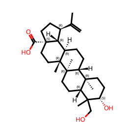 C=C(C)[C@@H]1CC[C@]2(C(=O)O)CC[C@]3(C)[C@H](CC[C@@H]4[C@@]5(C)CC[C@H](O)C(C)(CO)[C@@H]5CC[C@]43C)[C@@H]12